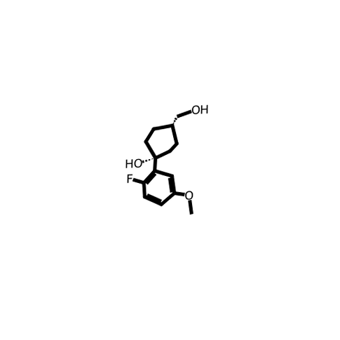 COc1ccc(F)c([C@]2(O)CC[C@@H](CO)CC2)c1